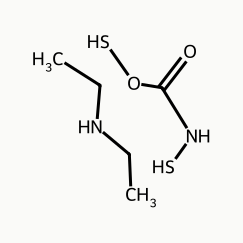 CCNCC.O=C(NS)OS